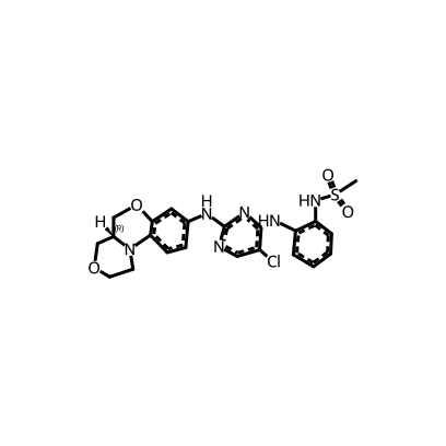 CS(=O)(=O)Nc1ccccc1Nc1nc(Nc2ccc3c(c2)OC[C@H]2COCCN32)ncc1Cl